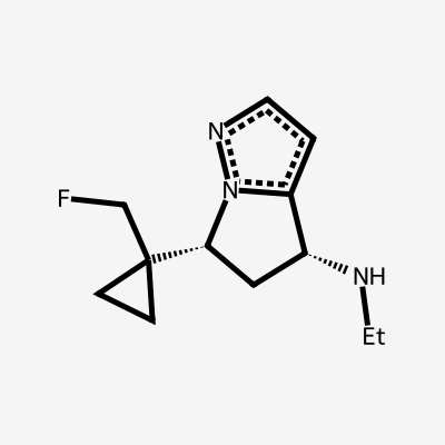 CCN[C@@H]1C[C@H](C2(CF)CC2)n2nccc21